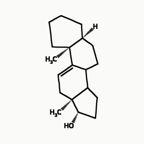 C[C@]12CC=C3C(CC[C@@H]4CCCC[C@]34C)C1CC[C@@H]2O